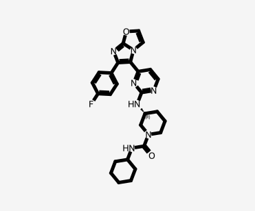 O=C(NC1CCCCC1)N1CCC[C@@H](Nc2nccc(-c3c(-c4ccc(F)cc4)nc4occn34)n2)C1